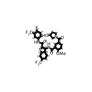 COc1ccc(C(=O)N2CC[C@H](O)C2)cc1C(=O)Nc1c(C(=O)Nc2ccc(F)c(C(F)(F)F)c2)sc2cc(C(F)(F)F)ccc12